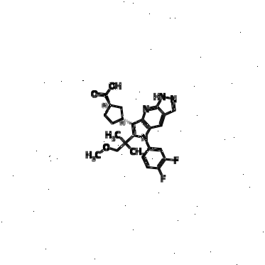 COCC(C)(C)c1c([C@@H]2CC[C@@H](C(=O)O)C2)c2nc3[nH]ncc3cc2n1-c1ccc(F)c(F)c1